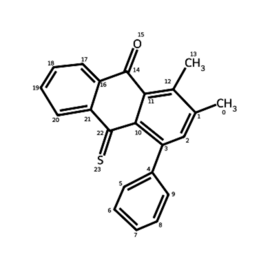 Cc1cc(-c2ccccc2)c2c(c1C)C(=O)c1ccccc1C2=S